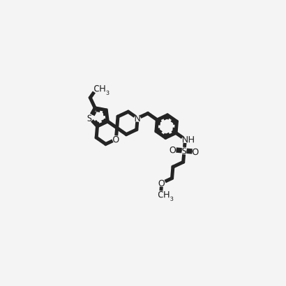 CCc1cc2c(s1)CCOC21CCN(Cc2ccc(NS(=O)(=O)CCCOC)cc2)CC1